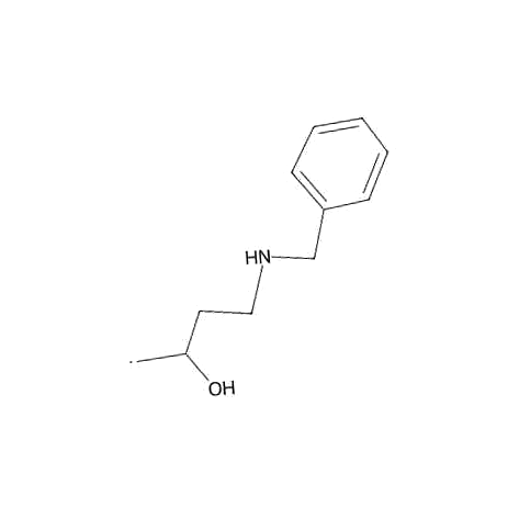 [CH2]C(O)CCNCc1ccccc1